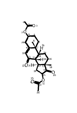 CC(=O)OC1CC[C@@]2(C)C(=CC(=O)[C@@H]3[C@H]2CC[C@]2(C)C(=O)C(OC(C)=O)C[C@@H]32)C1